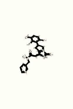 CN(Cc1cccnc1)C(=O)Cc1[nH]c(=S)n2c1CC(c1c(F)ccc(Cl)c1F)C2